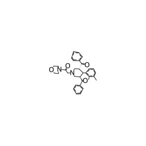 Cc1cccc(C2[C@@H](C(=O)c3ccccc3)CN(CC(=O)N3CCOCC3)C[C@@H]2C(=O)c2ccccc2)c1C